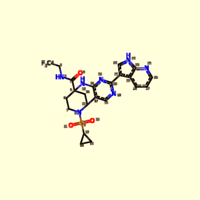 O=C(NCC(F)(F)F)C12CCN(S(=O)(=O)C3CC3)C(C1)c1cnc(-c3c[nH]c4ncccc34)nc1N2